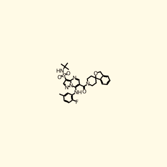 Cc1ccc(F)c(Nc2c(C(=O)N3CCC4(CC3)OCc3ccccc34)cnc3c(S(=O)(=O)NC(C)(C)C)cnn23)c1